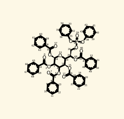 O=C(OC1C(OC(=O)c2ccccc2)[C@H](OC(=O)c2ccccc2)C([C@@H](COP(=O)(Oc2ccccc2)Oc2ccccc2)OC(=O)c2ccccc2)O[C@@H]1OC(=O)c1ccccc1)c1ccccc1